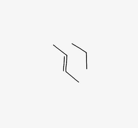 CC=CC.CCC